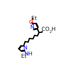 CCNc1cccc(CCCCCCC(CC(=O)O)c2ccc(OCC)nc2)n1